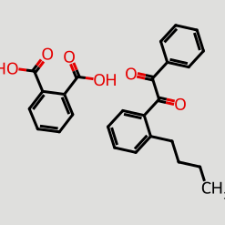 CCCCc1ccccc1C(=O)C(=O)c1ccccc1.O=C(O)c1ccccc1C(=O)O